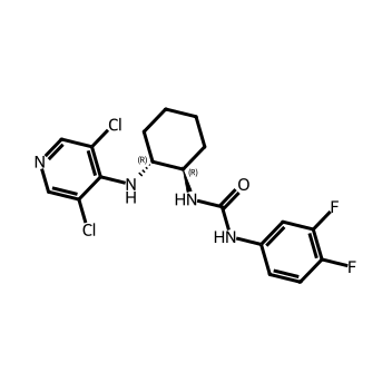 O=C(Nc1ccc(F)c(F)c1)N[C@@H]1CCCC[C@H]1Nc1c(Cl)cncc1Cl